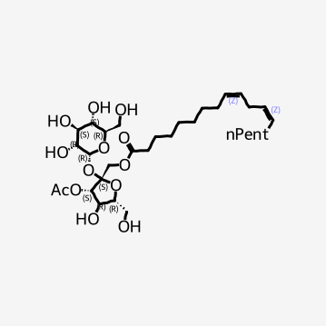 CCCCC/C=C\C/C=C\CCCCCCCC(=O)OC[C@@]1(O[C@H]2O[C@H](CO)[C@@H](O)[C@H](O)[C@H]2O)O[C@H](CO)[C@@H](O)[C@@H]1OC(C)=O